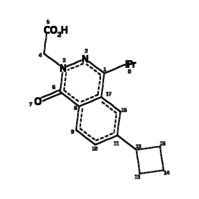 CC(C)c1nn(CC(=O)O)c(=O)c2ccc(C3CCC3)cc12